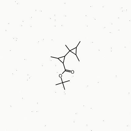 CC1C(C(=O)OC(C)(C)C)C1C1(C)C(C)C1C